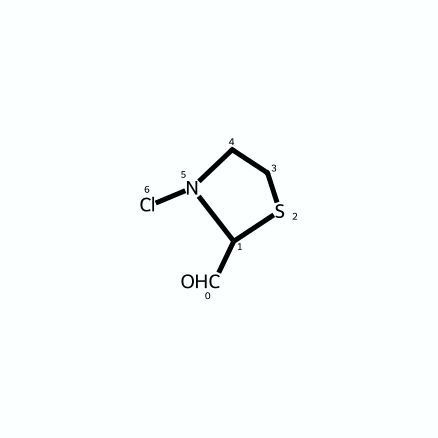 O=CC1SCCN1Cl